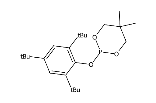 CC1(C)COP(Oc2c(C(C)(C)C)cc(C(C)(C)C)cc2C(C)(C)C)OC1